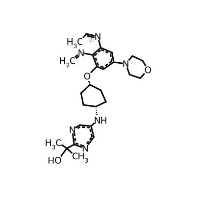 C=Nc1c(/N=C\C)cc(N2CCOCC2)cc1O[C@H]1CC[C@@H](Nc2cnc(C(C)(C)O)nc2)CC1